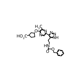 Cc1nc(-c2nn[nH]c2CCNC(=O)OCc2ccccc2)cnc1OC1CCC(C(=O)O)C1